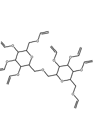 C=COCC1OC(COCC2OC(COC=C)C(OC=C)C(OC=C)C2OC=C)C(OC=C)C(OC=C)C1OC=C